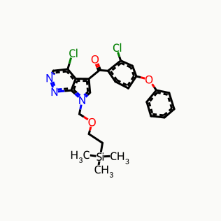 C[Si](C)(C)CCOCn1cc(C(=O)c2ccc(Oc3ccccc3)cc2Cl)c2c(Cl)cnnc21